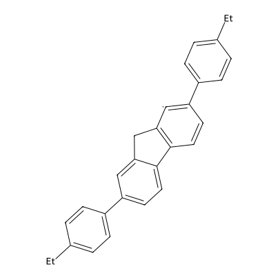 CCc1ccc(-c2[c]c3c(cc2)-c2ccc(-c4ccc(CC)cc4)cc2C3)cc1